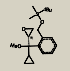 COC(c1ccccc1CO[Si](C)(C)C(C)(C)C)(C1CC1)[C@H]1CO1